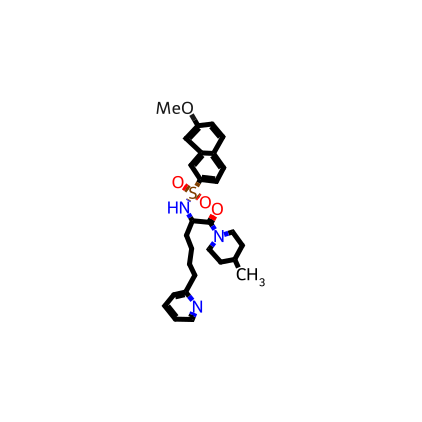 COc1ccc2ccc(S(=O)(=O)NC(CCCCc3ccccn3)C(=O)N3CCC(C)CC3)cc2c1